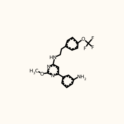 COc1nc(NCCc2ccc(OC(F)(F)F)cc2)cc(-c2cccc(N)c2)n1